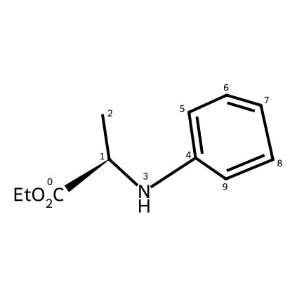 CCOC(=O)[C@@H](C)Nc1ccccc1